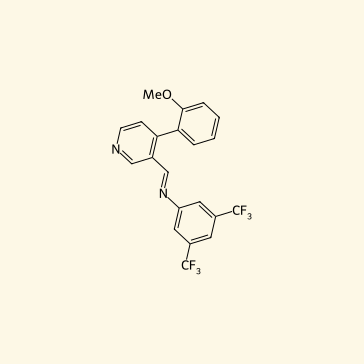 COc1ccccc1-c1ccncc1C=Nc1cc(C(F)(F)F)cc(C(F)(F)F)c1